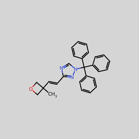 CC1(C=Cc2ncn(C(c3ccccc3)(c3ccccc3)c3ccccc3)n2)COC1